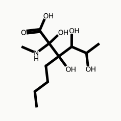 CCCCC(O)(C(O)C(C)O)C(O)(NC)C(=O)O